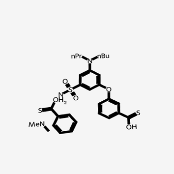 CCCCN(CCC)c1cc(Oc2cccc(C(O)=S)c2)cc(S(N)(=O)=O)c1.CNC.OC(=S)c1ccccc1